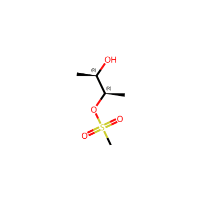 C[C@@H](O)[C@@H](C)OS(C)(=O)=O